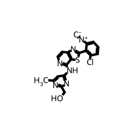 [C-]#[N+]c1cccc(Cl)c1-c1nc2ccnc(Nc3cc(C)nc(CO)n3)c2s1